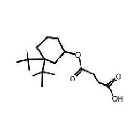 CC(C)(C)C1(C(C)(C)C)CCCC(OC(=O)CCC(=O)O)C1